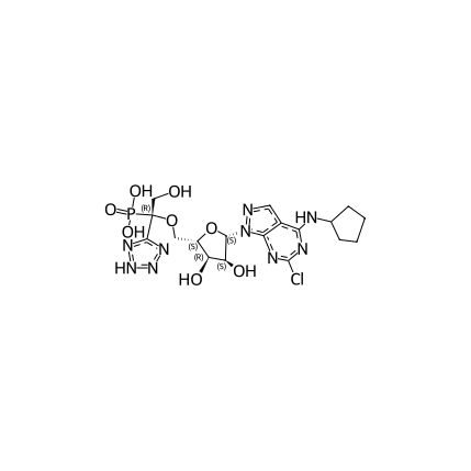 O=P(O)(O)[C@](CO)(OC[C@@H]1O[C@H](n2ncc3c(NC4CCCC4)nc(Cl)nc32)[C@@H](O)[C@H]1O)c1nn[nH]n1